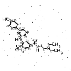 CCN(CC)CCNC(=O)c1ccc(OC)c(Nc2cncc(-c3ccc(O)cc3)n2)c1